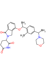 Bc1cc(C(B)N2CCOCC2)ccc1C(B)Oc1cccc2c1CN(C1CCC(=O)NC1=O)C2=O